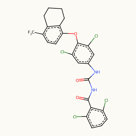 O=C(NC(=O)c1c(Cl)cccc1Cl)Nc1cc(Cl)c(Oc2ccc(C(F)(F)F)c3c2CCCC3)c(Cl)c1